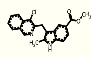 COC(=O)c1ccc2[nH]c(C)c(Cc3ncc4ccccc4c3Cl)c2c1